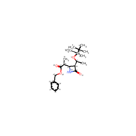 CC(O[Si](C)(C)C(C)(C)C)[C@H]1C(=O)N[C@H]1[C@H](C)C(=O)OCc1ccccc1